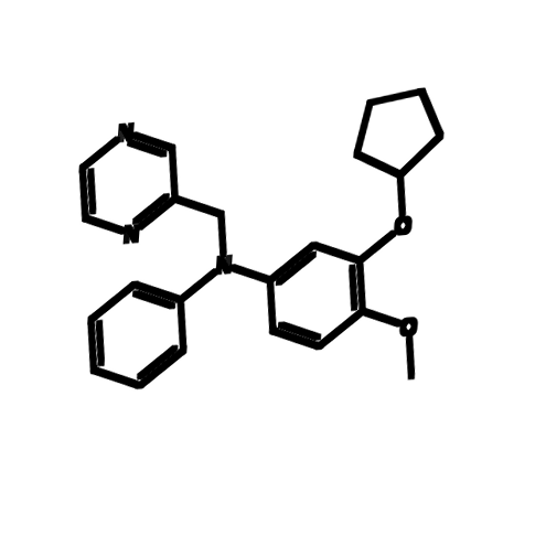 COc1ccc(N(Cc2cnccn2)c2ccccc2)cc1OC1CCCC1